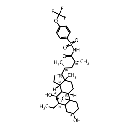 CC[C@@H]1C2C[C@H](O)CCC2(C)[C@H]2CCC3(C)[C@@H]([C@H](C)C[C@@H](C)C(=O)NS(=O)(=O)c4ccc(OC(F)(F)F)cc4)CC[C@H]3C2[C@@H]1O